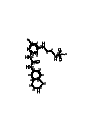 Cc1cc(NCCNS(C)(=O)=O)nc(NC(=O)Nc2ccc3c(c2)CCNC3)n1